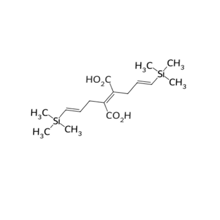 C[Si](C)(C)/C=C/C/C(C(=O)O)=C(/C/C=C/[Si](C)(C)C)C(=O)O